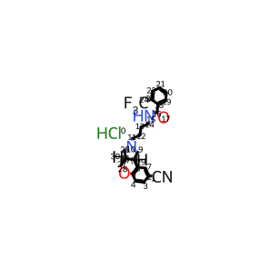 Cl.N#Cc1ccc2c(c1)[C@H]1CN(CCCCNC(=O)c3ccccc3C(F)(F)F)C[C@@H]1CO2